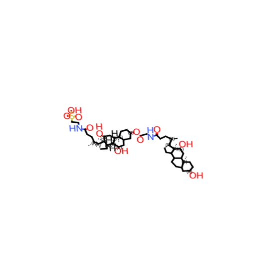 C[C@H](CCC(=O)NCC(=O)O[C@@H]1CC[C@@]2(C)C(C1)C[C@@H](O)[C@H]1[C@@H]3CC[C@H]([C@H](C)CCC(=O)NCCS(=O)(=O)O)[C@@]3(C)[C@@H](O)C[C@@H]12)[C@H]1CCC2C3CCC4C[C@H](O)CC[C@]4(C)C3C[C@H](O)[C@@]21C